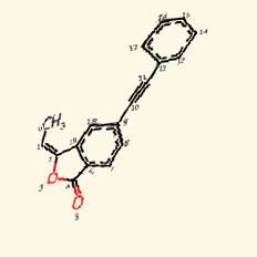 C/C=C1/OC(=O)c2ccc(C#Cc3ccccc3)cc21